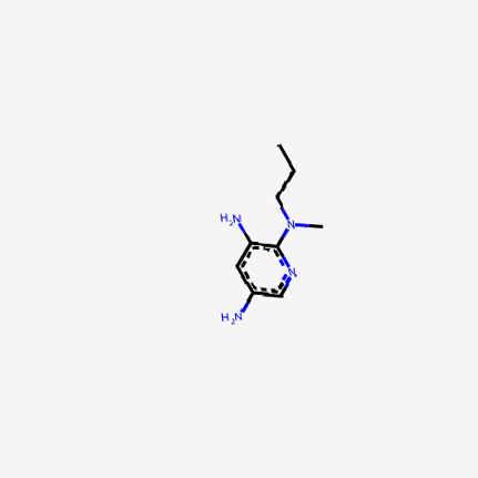 CCCN(C)c1ncc(N)cc1N